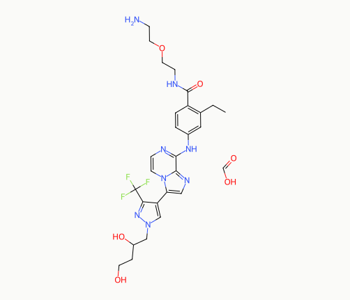 CCc1cc(Nc2nccn3c(-c4cn(CC(O)CCO)nc4C(F)(F)F)cnc23)ccc1C(=O)NCCOCCN.O=CO